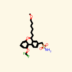 COCCCCCCC1Oc2cccc(OC(F)F)c2-c2ccc(CS(N)(=O)=O)cc21